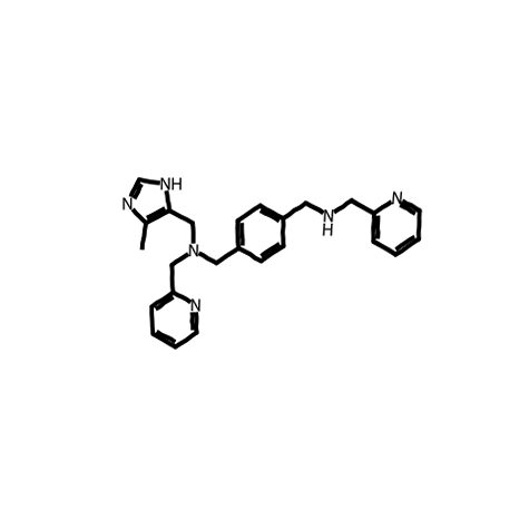 Cc1nc[nH]c1CN(Cc1ccc(CNCc2ccccn2)cc1)Cc1ccccn1